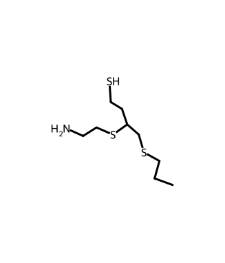 CCCSCC(CCS)SCCN